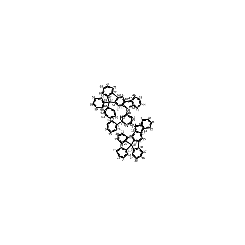 c1ccc(-c2nc(-n3c4ccccc4c4cc5c(cc43)C(c3ccccc3)(c3ccccc3)c3ccccc3-5)nc(-n3c4ccccc4c4cc5c(cc43)C(c3ccccc3)(c3ccccc3)c3ccccc3-5)n2)cc1